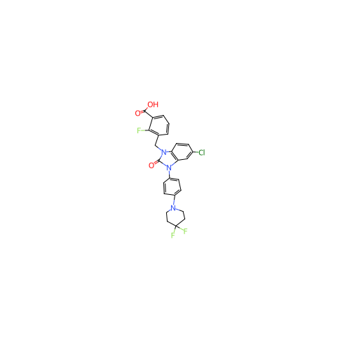 O=C(O)c1cccc(Cn2c(=O)n(-c3ccc(N4CCC(F)(F)CC4)cc3)c3cc(Cl)ccc32)c1F